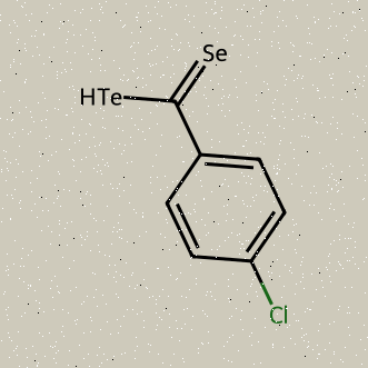 Clc1ccc(C(=[Se])[TeH])cc1